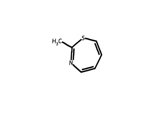 CC1=NC=CC=CS1